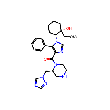 COC[C@]1(O)CCCC[C@H]1n1cnc(C(=O)N2CCNC[C@H]2Cn2cncn2)c1-c1ccccc1